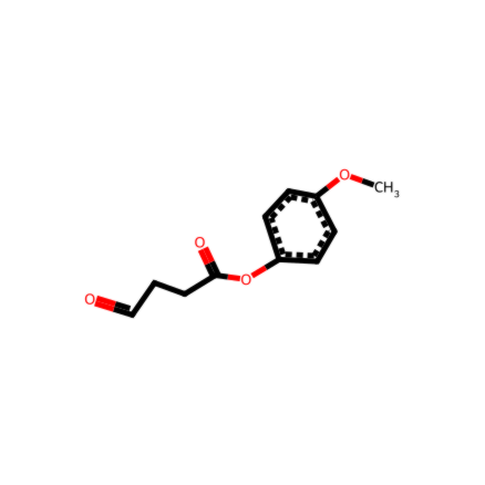 COc1ccc(OC(=O)CCC=O)cc1